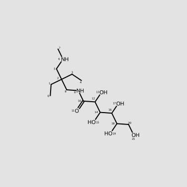 CCC(CC)(CNC)CNC(=O)C(O)C(O)C(O)C(O)CO